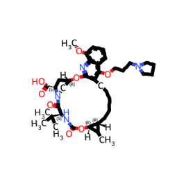 COc1cccc2c(OCCCN3CCCC3)c3c(nc12)O[C@@H]1C[C@@H](C(=O)O)N(C1)C(=O)[C@H](C(C)(C)C)NC(=O)O[C@@H]1C(C)[C@H]1CCCCC3